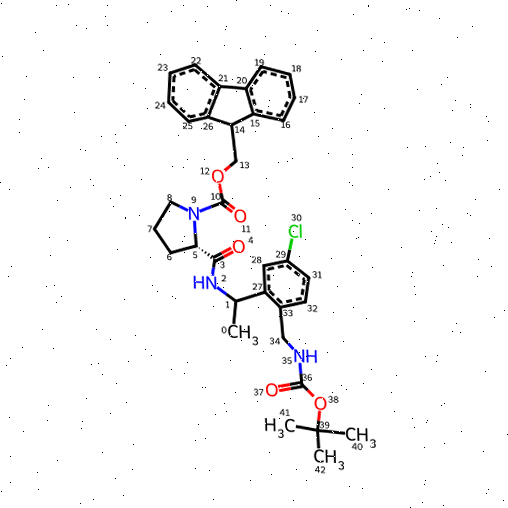 CC(NC(=O)[C@@H]1CCCN1C(=O)OCC1c2ccccc2-c2ccccc21)c1cc(Cl)ccc1CNC(=O)OC(C)(C)C